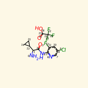 NC(C(=O)Nc1ncc(Cl)cc1F)C1CC1.O=C(O)C(F)(F)F